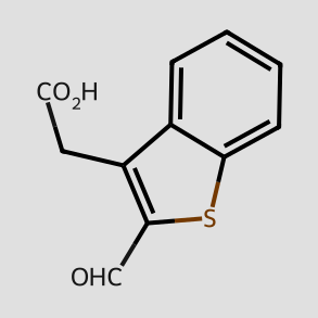 O=Cc1sc2ccccc2c1CC(=O)O